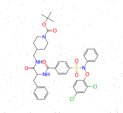 CC(C)(C)OC(=O)N1CCC(CNC(=O)C(Cc2ccccc2)NC(=O)c2ccc(S(=O)(=O)N(Oc3ccc(Cl)cc3Cl)c3ccccc3)cc2)CC1